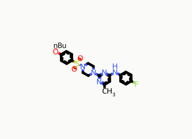 CCCCOc1ccc(S(=O)(=O)N2CCN(c3nc(C)cc(Nc4ccc(F)cc4)n3)CC2)cc1